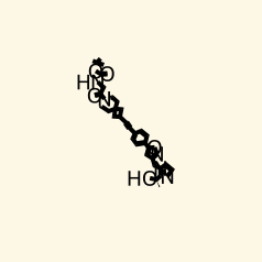 C[C@H](O)c1nccn1Cc1cc(-c2ccc(C#CC3CC4(CCN(C(=O)CNC(=O)OC(C)(C)C)CC4)C3)cc2)on1